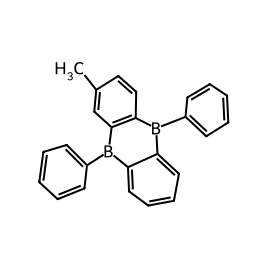 Cc1ccc2c(c1)B(c1ccccc1)c1ccccc1B2c1ccccc1